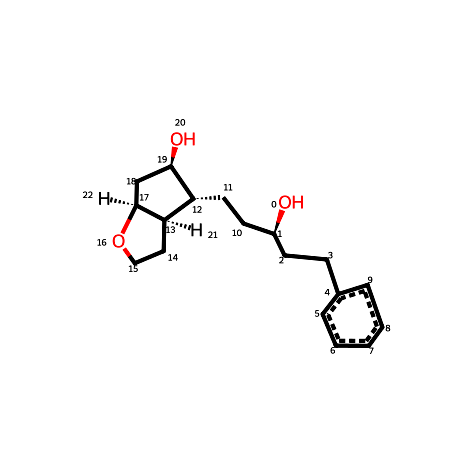 O[C@@H](CCc1ccccc1)CC[C@@H]1[C@H]2CCO[C@H]2C[C@H]1O